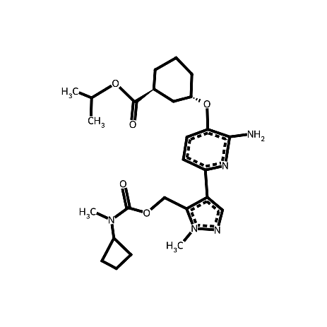 CC(C)OC(=O)[C@H]1CCC[C@H](Oc2ccc(-c3cnn(C)c3COC(=O)N(C)C3CCC3)nc2N)C1